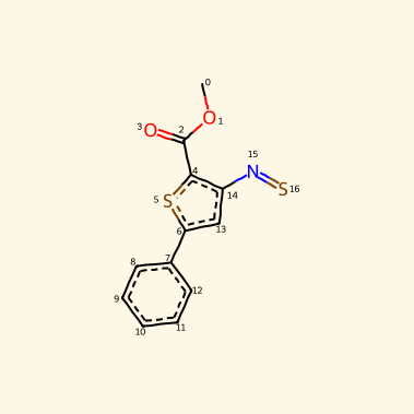 COC(=O)c1sc(-c2ccccc2)cc1N=S